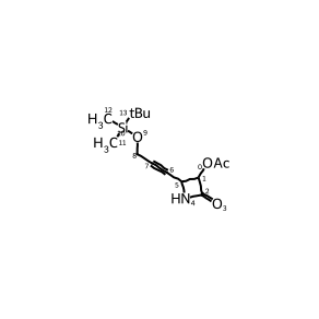 CC(=O)OC1C(=O)NC1C#CCO[Si](C)(C)C(C)(C)C